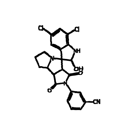 N#Cc1cccc(N2C(=O)C3C4CCCN4C4(c5cc(Cl)cc(Cl)c5NC4O)C3C2=O)c1